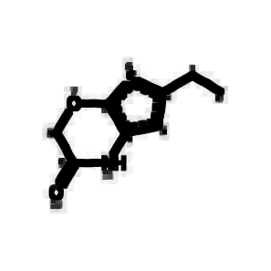 CCc1cc2c(s1)OCC(=O)N2